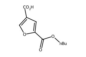 CCCCOC(=O)c1cc(C(=O)O)co1